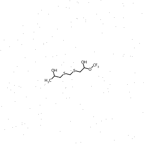 CC(O)CSCSCC(O)OC(F)(F)F